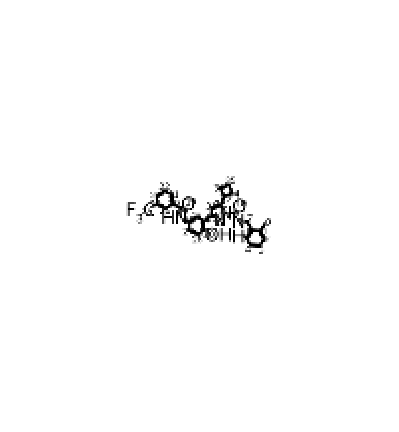 Cc1ccccc1CNC(=O)n1nc(-c2cc(NC(=O)c3cccc(C(F)(F)F)c3)ccc2O)cc1C1CCC1